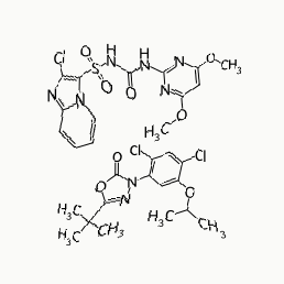 CC(C)Oc1cc(-n2nc(C(C)(C)C)oc2=O)c(Cl)cc1Cl.COc1cc(OC)nc(NC(=O)NS(=O)(=O)c2c(Cl)nc3ccccn23)n1